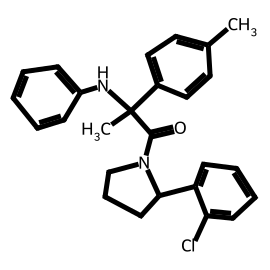 Cc1ccc(C(C)(Nc2ccccc2)C(=O)N2CCCC2c2ccccc2Cl)cc1